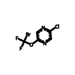 FC(F)(Br)Oc1cnc(Cl)cn1